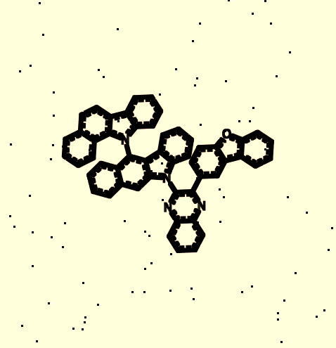 c1ccc2c(-n3c4ccccc4c4ccc5ccccc5c43)c3c4ccccc4n(-c4nc5ccccc5nc4-c4ccc5oc6ccccc6c5c4)c3cc2c1